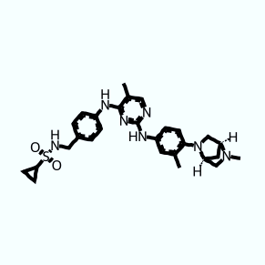 Cc1cc(Nc2ncc(C)c(Nc3ccc(CNS(=O)(=O)C4CC4)cc3)n2)ccc1N1C[C@@H]2C[C@H]1CN2C